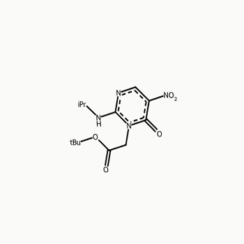 CC(C)Nc1ncc([N+](=O)[O-])c(=O)n1CC(=O)OC(C)(C)C